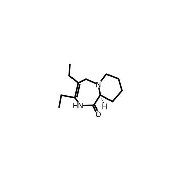 CCC1=C(CC)NC(=O)[C@@H]2CCCCN2C1